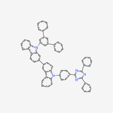 c1ccc(-c2cc(-c3ccccc3)cc(-n3c4ccccc4c4ccc(-c5ccc6c(c5)c5ccccc5n6-c5ccc(-c6nc(-c7ccccc7)nc(-c7ccccc7)n6)cc5)cc43)c2)cc1